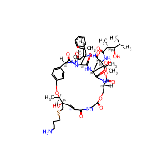 CC[C@H](C)C1NC(=O)[C@@H](NC(=O)[C@H](C)[C@H](O)C(C)C)[C@@H](C)OC(=O)[C@@H]2COC(=O)CNC(=O)/C=C/[C@](O)(CSCCCN)[C@@H](C)Oc3ccc(cc3)[C@H](NC1=O)C(=O)N(C)[C@@H](Cc1ccccc1)C(=O)N[C@H]([C@@H](C)O)C(=O)N2